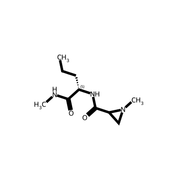 CCC[C@H](NC(=O)C1CN1C)C(=O)NC